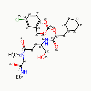 CCNC(=O)CN(C)C(=O)CCC(CO)NC(=O)C(CC1CCCCC1)OC(=O)OCc1cccc(Cl)c1